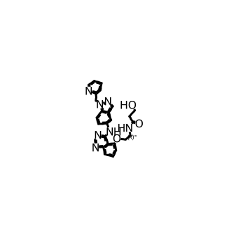 C[C@H](COc1cccc2ncnc(Nc3ccc4c(cnn4Cc4ccccn4)c3)c12)NC(=O)CCO